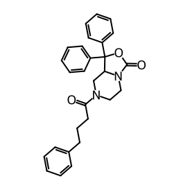 O=C(CCCc1ccccc1)N1CCN2C(=O)OC(c3ccccc3)(c3ccccc3)C2C1